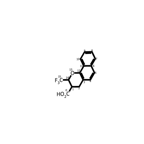 O=C(O)C1Cc2ccc3ccccc3c2OC1C(F)(F)F